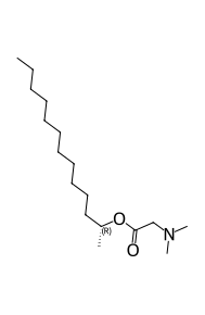 CCCCCCCCCCC[C@@H](C)OC(=O)CN(C)C